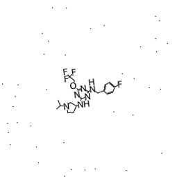 CC(C)N1CCC(Nc2nc(NCc3ccc(F)cc3)nc(OCC(F)(F)F)n2)C1